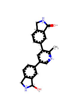 Cc1ncc(-c2ccc3c(c2)C(O)NC3)cc1-c1ccc2c(c1)C(=O)NC2